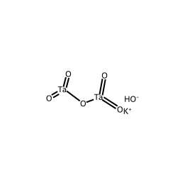 [K+].[OH-].[O]=[Ta](=[O])[O][Ta](=[O])=[O]